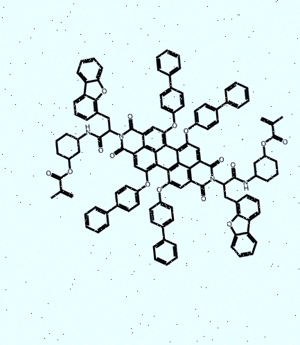 C=C(C)C(=O)OC1CCCC(NC(=O)C(Cc2cccc3c2oc2ccccc23)N2C(=O)c3cc(Oc4ccc(-c5ccccc5)cc4)c4c5c(Oc6ccc(-c7ccccc7)cc6)cc6c7c(cc(Oc8ccc(-c9ccccc9)cc8)c(c8c(Oc9ccc(-c%10ccccc%10)cc9)cc(c3c48)C2=O)c75)C(=O)N(C(Cc2cccc3c2oc2ccccc23)C(=O)NC2CCCC(OC(=O)C(=C)C)C2)C6=O)C1